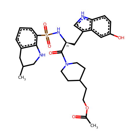 CC(=O)OCCC1CCN(C(=O)[C@H](Cc2c[nH]c3ccc(O)cc23)NS(=O)(=O)c2cccc3c2NCC(C)C3)CC1